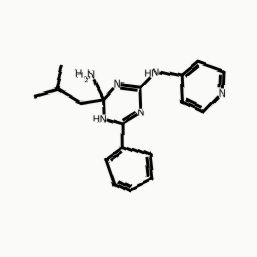 CC(C)CC1(N)N=C(Nc2ccncc2)N=C(c2ccccc2)N1